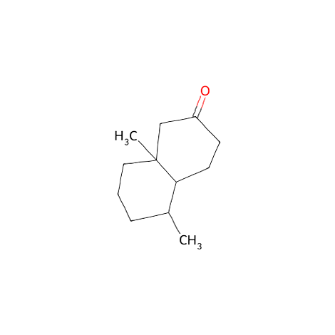 CC1CCCC2(C)CC(=O)CCC12